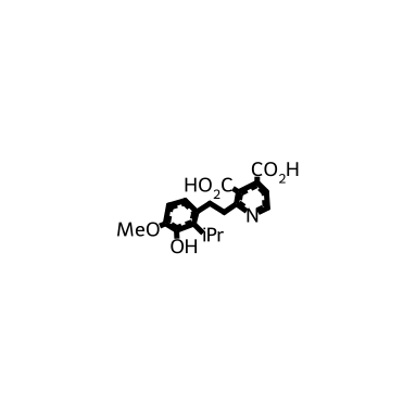 COc1ccc(CCc2nccc(C(=O)O)c2C(=O)O)c(C(C)C)c1O